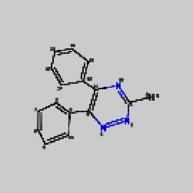 [2H]c1nnc(-c2ccccc2)c(-c2ccccc2)n1